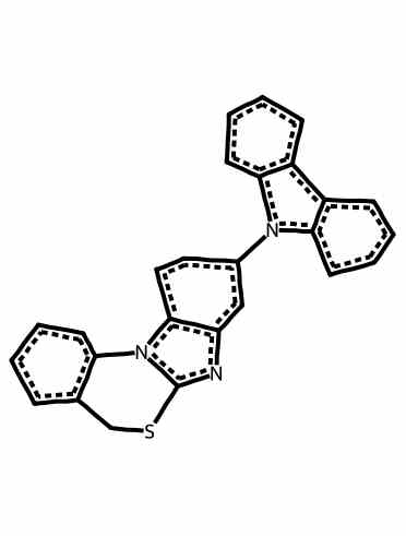 c1ccc2c(c1)CSc1nc3cc(-n4c5ccccc5c5ccccc54)ccc3n1-2